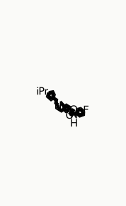 CC(C)c1ccc(CCN2CCc3cc(S(=O)(=O)Nc4ccc(F)cc4)ccc3C2)cc1